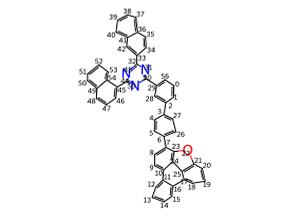 c1cc(-c2ccc(-c3ccc4c5ccccc5c5cccc6oc3c4c65)cc2)cc(-c2nc(-c3ccc4ccccc4c3)nc(-c3cccc4ccccc34)n2)c1